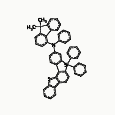 CC1(C)c2ccccc2-c2c(N(c3ccccc3)c3ccc4c(c3)[Si](c3ccccc3)(c3ccccc3)c3ccc5c(sc6ccccc65)c3-4)cccc21